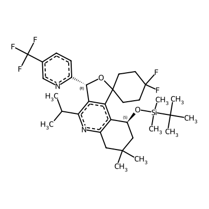 CC(C)c1nc2c(c3c1[C@H](c1ccc(C(F)(F)F)cn1)OC31CCC(F)(F)CC1)[C@@H](O[Si](C)(C)C(C)(C)C)CC(C)(C)C2